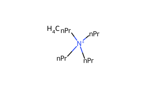 C.CCC[N+](CCC)(CCC)CCC